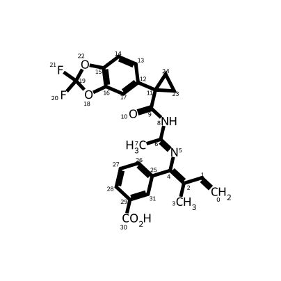 C=C/C(C)=C(\N=C(/C)NC(=O)C1(c2ccc3c(c2)OC(F)(F)O3)CC1)c1cccc(C(=O)O)c1